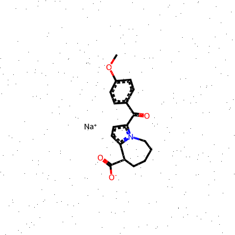 COc1ccc(C(=O)c2ccc3n2CCCCC3C(=O)[O-])cc1.[Na+]